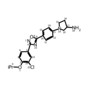 CC(C)Oc1ccc(-c2noc(-c3ccc(N4CCC(N)C4)cc3)n2)cc1Cl